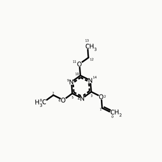 C=COc1nc(OCC)nc(OCC)n1